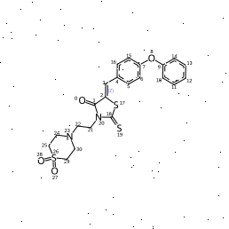 O=C1/C(=C/c2ccc(Oc3ccccc3)cc2)SC(=S)N1CCN1CCS(=O)(=O)CC1